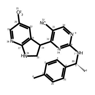 Cc1ccc([C@@H](C)Nc2ncc(C#N)c(C3CNc4ncc(C(F)(F)F)cc43)n2)cc1